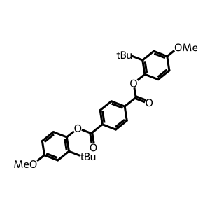 COc1ccc(OC(=O)c2ccc(C(=O)Oc3ccc(OC)cc3C(C)(C)C)cc2)c(C(C)(C)C)c1